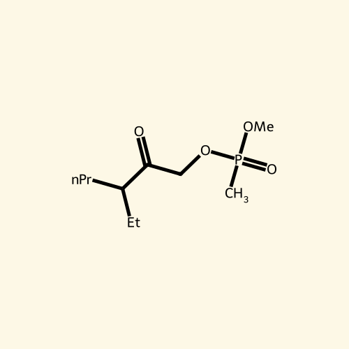 CCCC(CC)C(=O)COP(C)(=O)OC